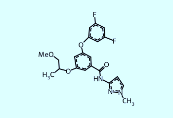 COCC(C)Oc1cc(Oc2cc(F)cc(F)c2)cc(C(=O)Nc2ccn(C)n2)c1